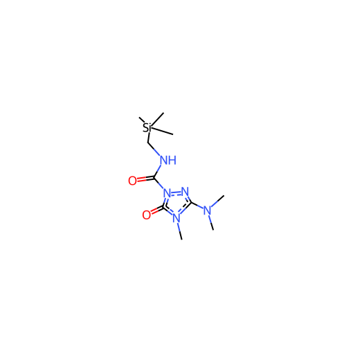 CN(C)c1nn(C(=O)NC[Si](C)(C)C)c(=O)n1C